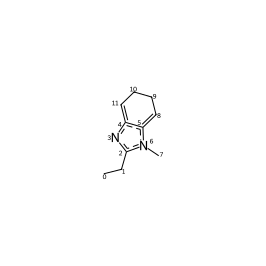 CCc1nc2c(n1C)=CCCC=2